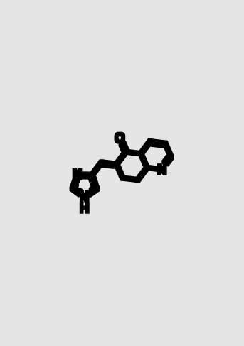 O=C1/C(=C/c2c[nH]cn2)CCC2N=CC=CC12